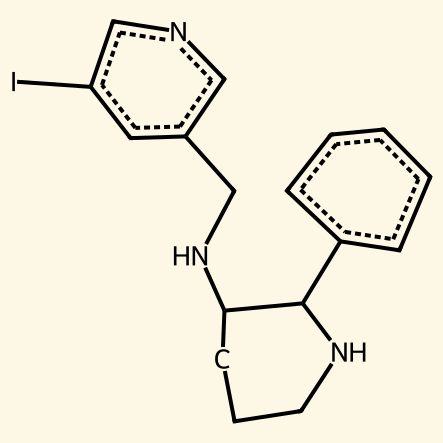 Ic1cncc(CNC2CCCNC2c2ccccc2)c1